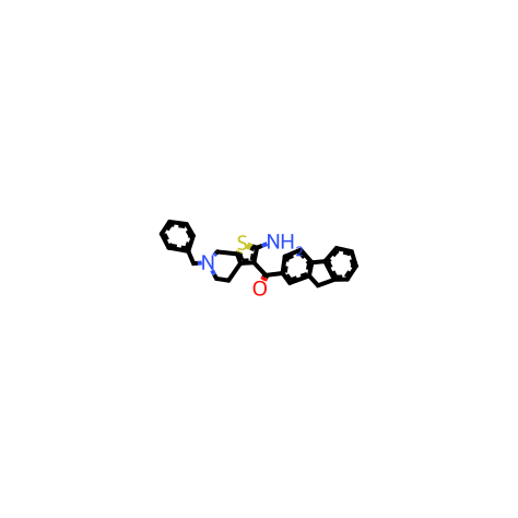 Nc1sc2c(c1C(=O)c1ccc3c(c1)Cc1ccccc1-3)CCN(Cc1ccccc1)C2